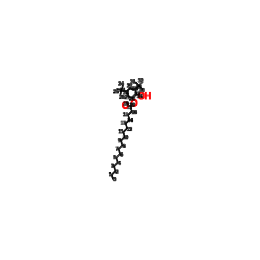 CCCCCCCCCCCCCCCCCC(=O)Oc1cc(C(C)(C)C)cc(C(C)(C)C)c1O